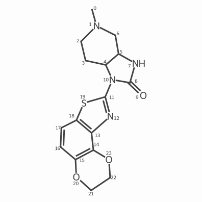 CN1CCC2C(C1)NC(=O)N2c1nc2c3c(ccc2s1)OCCO3